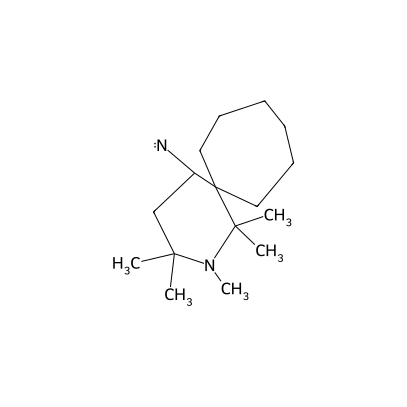 CN1C(C)(C)CC([N])C2(CCCCCC2)C1(C)C